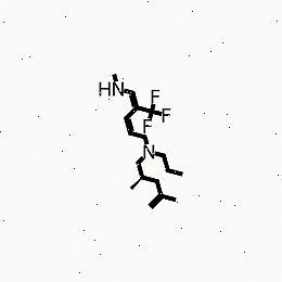 C=C(C)C[C@@H](C)CN(C/C=C\C(=C/NC)C(F)(F)F)CCC